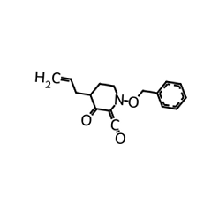 C=CCC1CCN(OCc2ccccc2)C(=C=O)C1=O